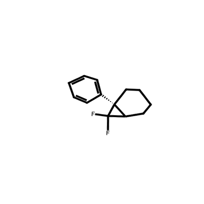 FC1(F)C2CCCC[C@@]21c1ccccc1